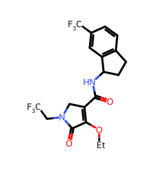 CCOC1=C(C(=O)NC2CCc3ccc(C(F)(F)F)cc32)CN(CC(F)(F)F)C1=O